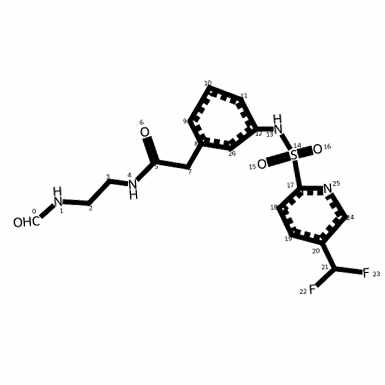 O=CNCCNC(=O)Cc1cccc(NS(=O)(=O)c2ccc(C(F)F)cn2)c1